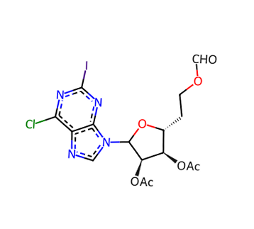 CC(=O)O[C@@H]1[C@@H](CCOC=O)OC(n2cnc3c(Cl)nc(I)nc32)[C@@H]1OC(C)=O